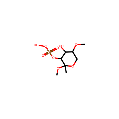 COC1COC(C)(OC)C(OS(=O)(=O)OO)C1O